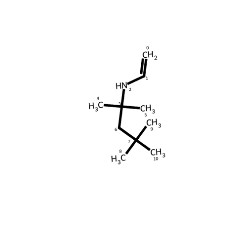 C=CNC(C)(C)CC(C)(C)C